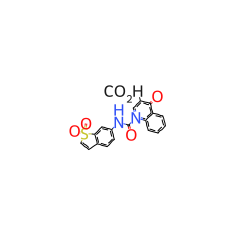 O=C(O)c1cn(C(=O)Nc2ccc3c(c2)S(=O)(=O)C=C3)c2ccccc2c1=O